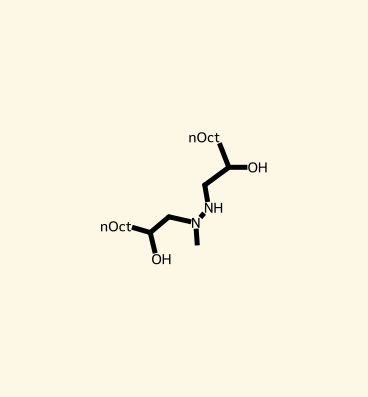 CCCCCCCCC(O)CNN(C)CC(O)CCCCCCCC